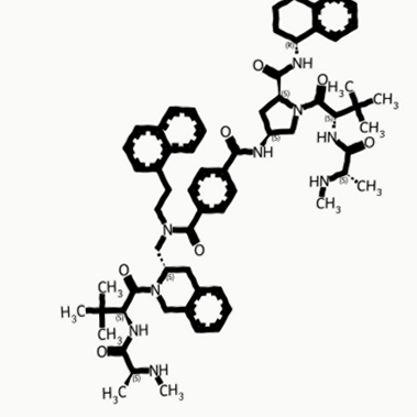 CN[C@@H](C)C(=O)N[C@H](C(=O)N1Cc2ccccc2C[C@H]1CN(CCc1cccc2ccccc12)C(=O)c1ccc(C(=O)N[C@H]2C[C@@H](C(=O)N[C@@H]3CCCc4ccccc43)N(C(=O)[C@@H](NC(=O)[C@H](C)NC)C(C)(C)C)C2)cc1)C(C)(C)C